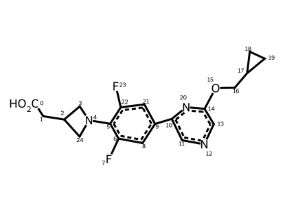 O=C(O)CC1CN(c2c(F)cc(-c3cncc(OCC4CC4)n3)cc2F)C1